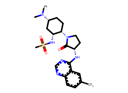 CC(C)N(C)[C@@H]1CC[C@H](N2CC[C@H](Nc3ncnc4ccc(C(F)(F)F)cc34)C2=O)[C@H](NS(C)(=O)=O)C1